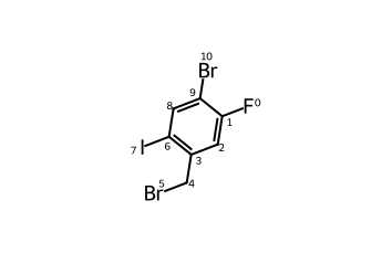 Fc1cc(CBr)c(I)cc1Br